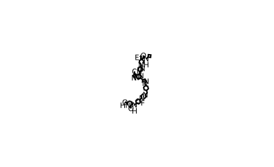 CCC1(C(=O)NC2CCC2)CCN(c2ccc(-c3nc(-c4cnn(C5CCC(CN6CCN(c7ccc(N[C@@H]8CCC(=O)NC8=O)cc7F)CC6)CC5)c4)cn4ncc(C#N)c34)cn2)CC1